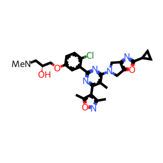 CNC[C@@H](O)COc1ccc(Cl)c(-c2nc(-c3c(C)noc3C)c(C)c(N3Cc4nc(C5CC5)oc4C3)n2)c1